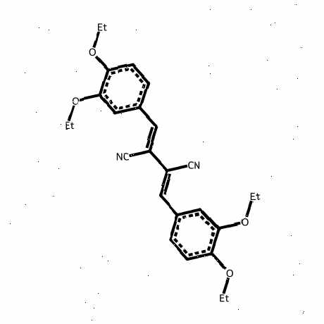 CCOc1ccc(/C=C(C#N)/C(C#N)=C/c2ccc(OCC)c(OCC)c2)cc1OCC